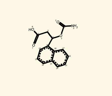 NC(=O)OC(CC(=O)O)c1cccc2ccccc12